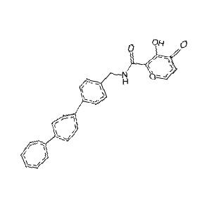 O=C(NCc1ccc(-c2ccc(-c3ccccc3)cc2)cc1)c1occc(=O)c1O